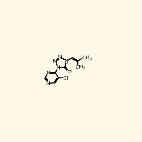 CC(C)=Cn1nnn(-c2ncncc2Cl)c1=O